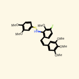 COc1ccc(SNc2c(/C=C\c3cc(OC)c(OC)c(OC)c3)ccc(F)c2OC)cc1OC